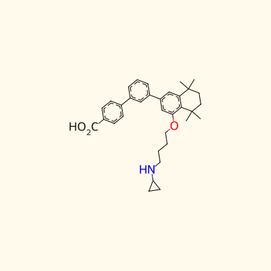 CC1(C)CCC(C)(C)c2c(OCCCCNC3CC3)cc(-c3cccc(-c4ccc(C(=O)O)cc4)c3)cc21